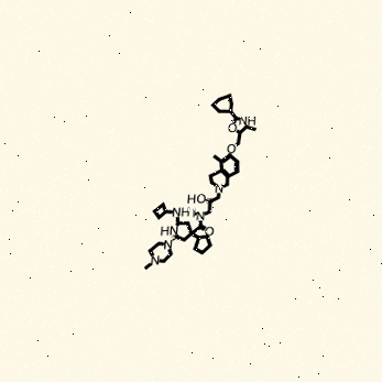 Cc1c(OCC2OC(C3CCCCC3)NC2C)ccc2c1CCN(C[C@@H](O)CN(I)C(=O)C1(C3CCCC3)CC(NC3CCC3)N[C@@H](N3CCN(C)CC3)C1)C2